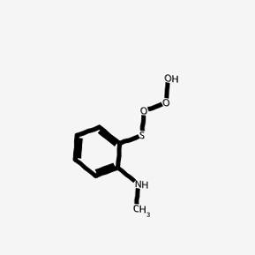 CNc1ccccc1SOOO